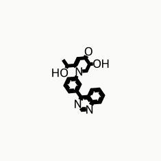 CC(O)C1=CC(=O)C(O)CN1c1cccc(-c2ncnc3ccccc23)c1